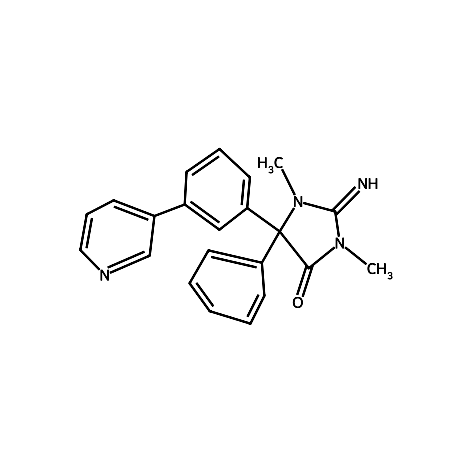 CN1C(=N)N(C)C(c2ccccc2)(c2cccc(-c3cccnc3)c2)C1=O